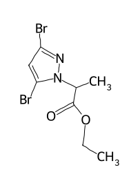 CCOC(=O)C(C)n1nc(Br)cc1Br